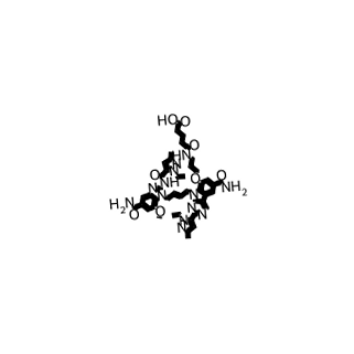 CCn1nc(C)cc1C(=O)Nc1nc2cc(C(N)=O)cc(OC)c2n1CC=CCn1c2nc(-c3cc(C)nn3CC)ncc2c2cc(C(N)=O)cc(OCCCNC(=O)CCCC(=O)O)c21